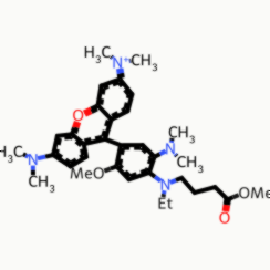 CCN(CCCC(=O)OC)c1cc(OC)c(-c2c3ccc(=[N+](C)C)cc-3oc3cc(N(C)C)ccc23)cc1N(C)C